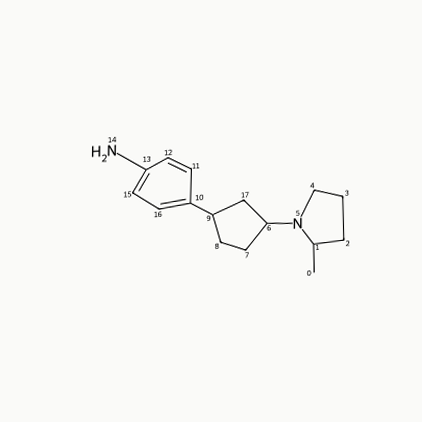 CC1CCCN1C1CCC(c2ccc(N)cc2)C1